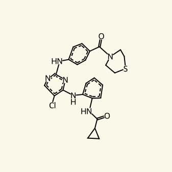 O=C(Nc1ccccc1Nc1nc(Nc2ccc(C(=O)N3CCSCC3)cc2)ncc1Cl)C1CC1